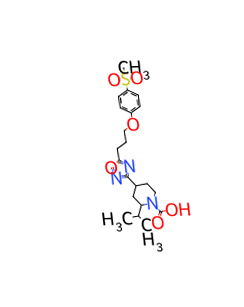 CC(C)C1CC(c2noc(CCCOc3ccc(S(C)(=O)=O)cc3)n2)CCN1C(=O)O